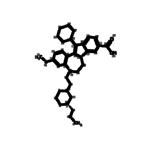 COC[C@@H]1CCCN(CCN2CCn3c(c(C4CCCCC4)c4ccc(C(=O)O)cc43)-c3ccc(OC)cc32)C1